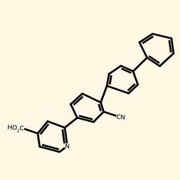 N#Cc1cc(-c2cc(C(=O)O)ccn2)ccc1-c1ccc(-c2ccccc2)cc1